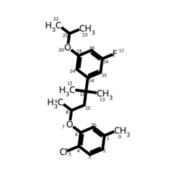 Cc1ccc(Cl)c(OC(C)CC(C)(C)c2cc(F)cc(OC(C)C)c2)c1